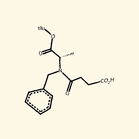 C[C@@H](C(=O)OC(C)(C)C)N(Cc1ccccc1)C(=O)CCC(=O)O